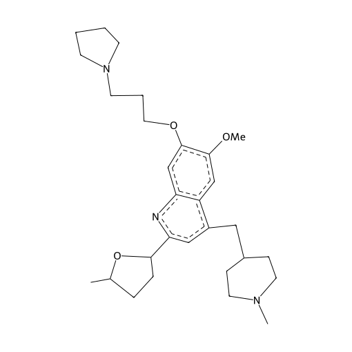 COc1cc2c(CC3CCN(C)CC3)cc(C3CCC(C)O3)nc2cc1OCCCN1CCCC1